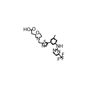 Cc1cc(Nc2nccc(C(F)(F)F)n2)cc(-c2cnc(CN3CCOC(CC(=O)O)C3)s2)c1